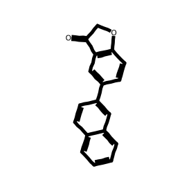 O=C1COc2ccc(-c3ccc4ccccc4c3)cc21